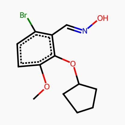 COc1ccc(Br)c(C=NO)c1OC1CCCC1